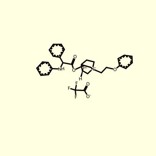 O=C(O[C@H]1C[N+]2(CCOc3ccccc3)CCC1CC2)C(Nc1ccccc1)c1ccccc1.O=C([O-])C(F)(F)F